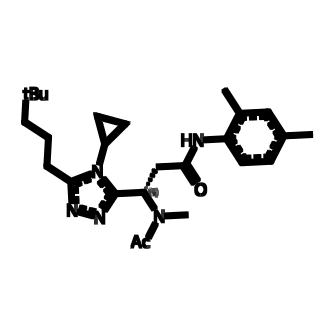 CC(=O)N(C)[C@@H](CC(=O)Nc1ccc(C)cc1C)c1nnc(CCCC(C)(C)C)n1C1CC1